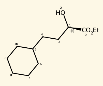 CCOC(=O)[C@H](O)CCC1CCCCC1